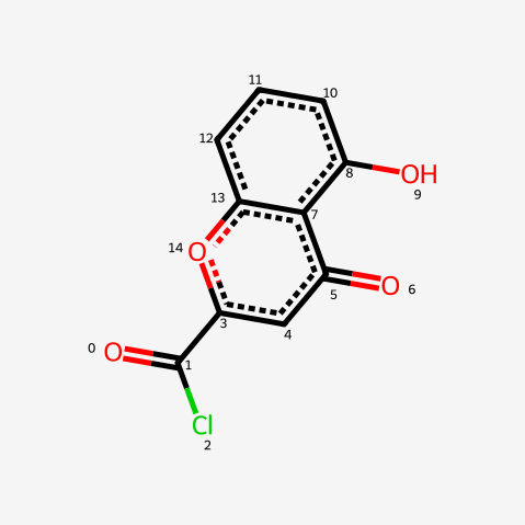 O=C(Cl)c1cc(=O)c2c(O)cccc2o1